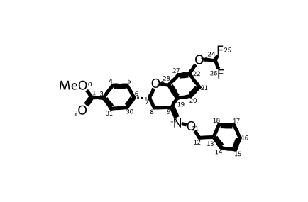 COC(=O)c1ccc([C@H]2C/C(=N/OCc3ccccc3)c3ccc(OC(F)F)cc3O2)cc1